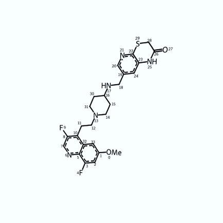 COc1cc(F)c2ncc(F)c(CCN3CCC(NCc4cnc5c(c4)NC(=O)CS5)CC3)c2c1